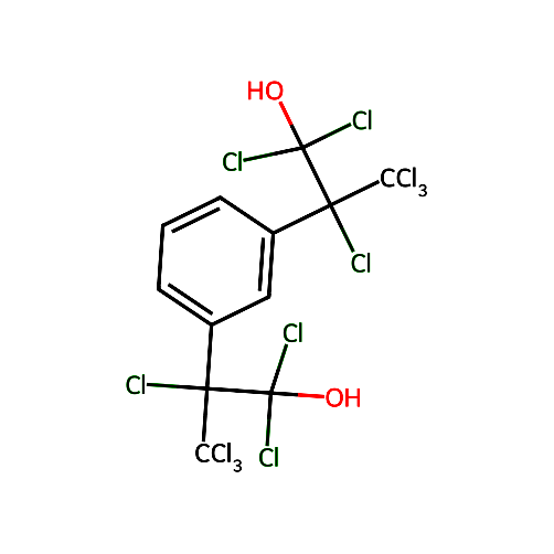 OC(Cl)(Cl)C(Cl)(c1cccc(C(Cl)(C(O)(Cl)Cl)C(Cl)(Cl)Cl)c1)C(Cl)(Cl)Cl